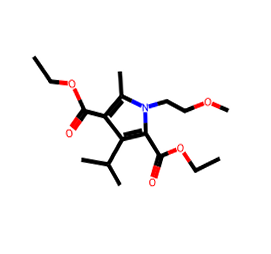 CCOC(=O)c1c(C(C)C)c(C(=O)OCC)n(CCOC)c1C